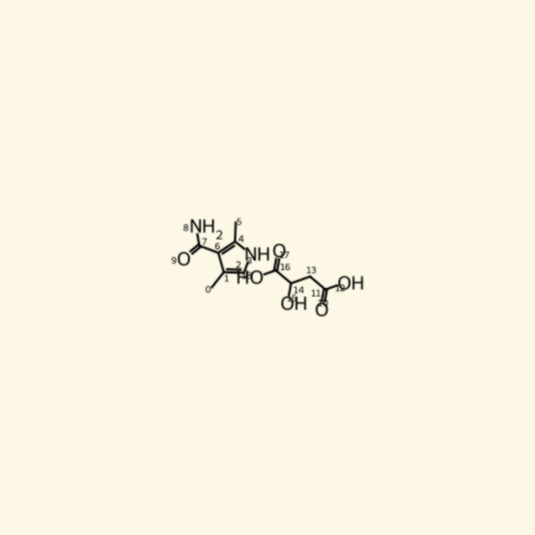 Cc1c[nH]c(C)c1C(N)=O.O=C(O)CC(O)C(=O)O